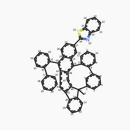 CC12c3cccc(c3)-c3ccccc3-c3c4cc(-c5nc6ccccc6s5)ccc4c(-c4ccccc4-c4ccccc4)c4cc(c1cc34)-c1ccccc12